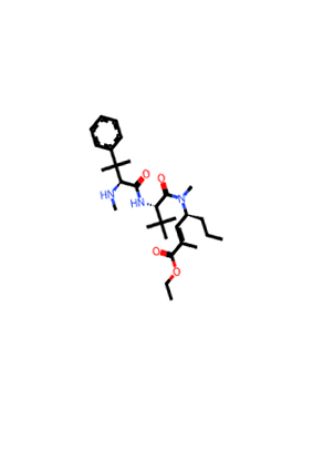 CCC[C@@H](/C=C(\C)C(=O)OCC)N(C)C(=O)[C@@H](NC(=O)[C@@H](NC)C(C)(C)c1ccccc1)C(C)(C)C